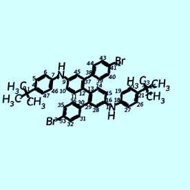 CC(C)(C)c1ccc(Nc2ccc(-c3ccc(Nc4ccc(C(C)(C)C)cc4)cc3-c3ccc(Br)cc3)c(-c3ccc(Br)cc3)c2)cc1